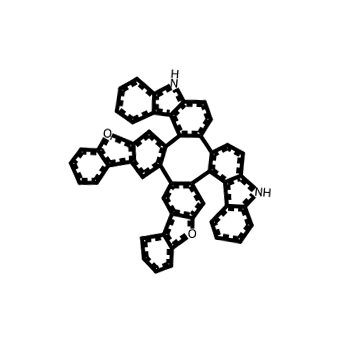 c1ccc2c(c1)[nH]c1ccc3c(c12)-c1cc2oc4ccccc4c2cc1-c1cc2c(cc1-c1c-3ccc3[nH]c4ccccc4c13)oc1ccccc12